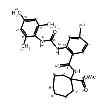 COC(=O)C1(NC(=O)c2ccc(F)cc2NC(=O)Nc2c(C)cc(C)cc2C)CCCCCC1